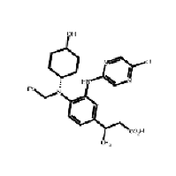 CC(C)CN(c1ccc([C@H](C)CC(=O)O)cc1Nc1cnc(Cl)cn1)[C@H]1CC[C@H](O)CC1